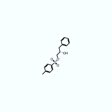 Cc1ccc(S(=O)(=O)OC[C@@H](O)Cc2ccccc2)cc1